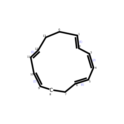 [CH]1/C=C/C=C\C=C\CC/C=C\C=C\C1